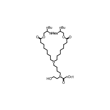 CCCCCCCCC(=O)N(CCO)CCCCN(CCCCCCCC(=O)OCC(CCCC)CCCCCC)CCCCCCCC(=O)OCC(CCCC)CCCCCC